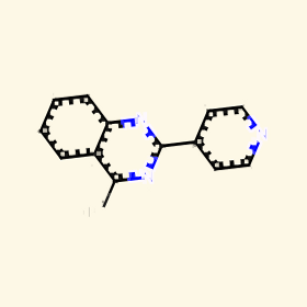 CC(C)(C)c1nc(-c2ccncc2)nc2ccccc12